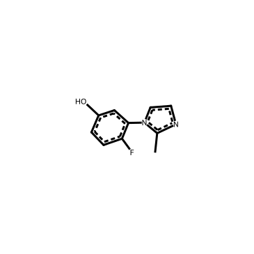 Cc1nccn1-c1cc(O)ccc1F